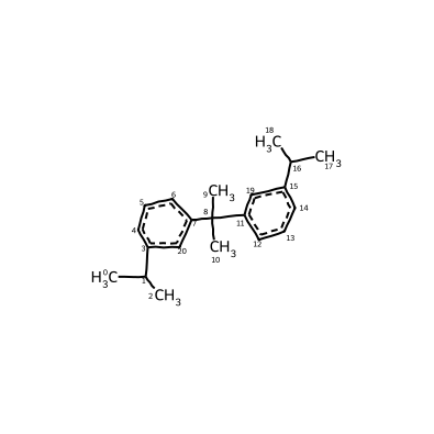 CC(C)c1cccc(C(C)(C)c2cccc(C(C)C)c2)c1